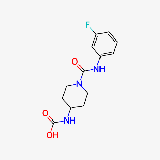 O=C(O)NC1CCN(C(=O)Nc2cccc(F)c2)CC1